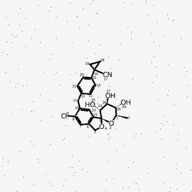 C[C@H]1O[C@]2(OCc3cc(Cl)c(Cc4ccc(C5(C#N)CC5)cc4)cc32)[C@H](O)[C@@H](O)[C@@H]1O